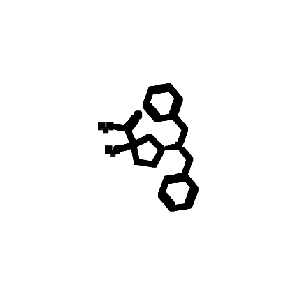 CC1(C(N)=O)CC[C@@H](N(Cc2ccccc2)Cc2ccccc2)C1